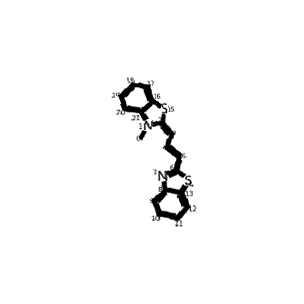 CN1C(=CC=Cc2nc3ccccc3s2)Sc2ccccc21